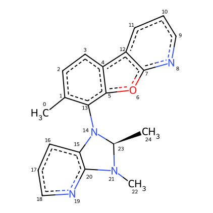 Cc1ccc2c(oc3ncccc32)c1N1c2cccnc2N(C)[C@@H]1C